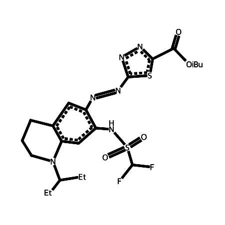 CCC(CC)N1CCCc2cc(N=Nc3nnc(C(=O)OCC(C)C)s3)c(NS(=O)(=O)C(F)F)cc21